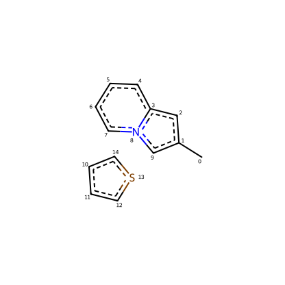 Cc1cc2ccccn2c1.c1ccsc1